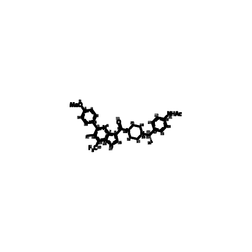 COc1ccc(-c2nc3c(C(=O)N4CCN([C@@H](C)c5ccc(NC(C)=O)cc5)CC4)cnn3c(C(F)(F)F)c2C)cc1